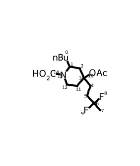 CCCCC1CC(CCC(C)(F)F)(OC(C)=O)CCN1C(=O)O